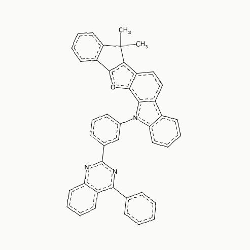 CC1(C)c2ccccc2-c2oc3c(ccc4c5ccccc5n(-c5cccc(-c6nc(-c7ccccc7)c7ccccc7n6)c5)c43)c21